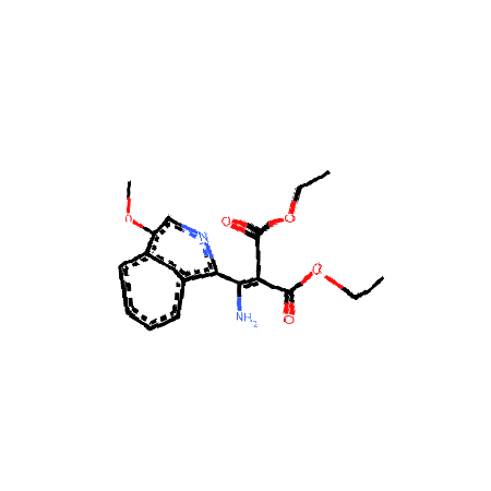 CCOC(=O)C(C(=O)OCC)=C(N)c1ncc(OC)c2ccccc12